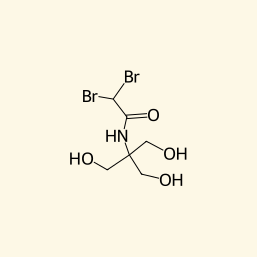 O=C(NC(CO)(CO)CO)C(Br)Br